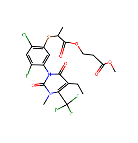 CCc1c(C(F)(F)F)n(C)c(=O)n(-c2cc(SC(C)C(=O)OCCC(=O)OC)c(Cl)cc2F)c1=O